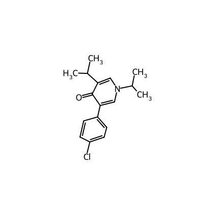 CC(C)c1cn(C(C)C)cc(-c2ccc(Cl)cc2)c1=O